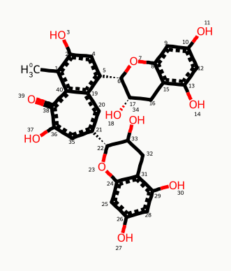 Cc1c(O)cc([C@@H]2Oc3cc(O)cc(O)c3C[C@@H]2O)c2cc([C@H]3Oc4cc(O)cc(O)c4CC3O)cc(O)c(=O)c12